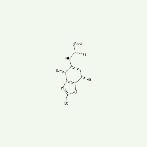 CCCCCC(CC)NC1=CC(=O)c2oc(CC)nc2C1=O